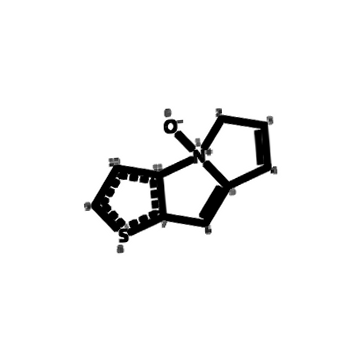 [O-][N+]12CC=CC1=Cc1sccc12